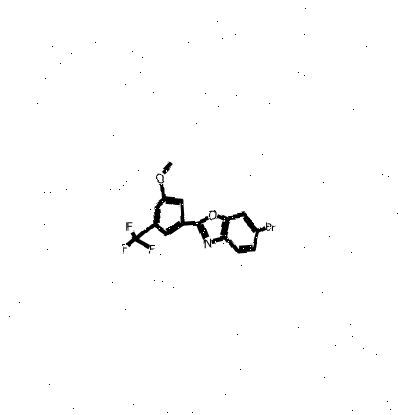 COc1cc(-c2nc3ccc(Br)cc3o2)cc(C(F)(F)F)c1